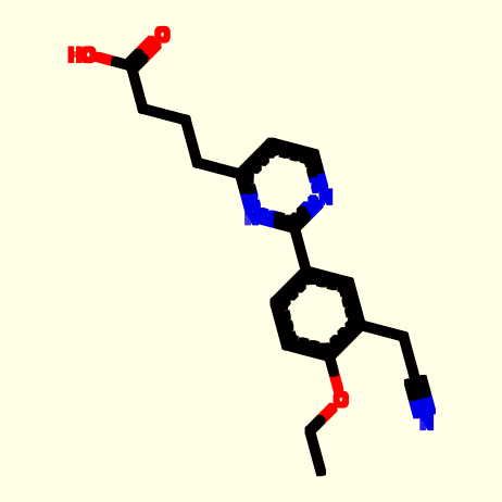 CCOc1ccc(-c2nccc(CCCC(=O)O)n2)cc1CC#N